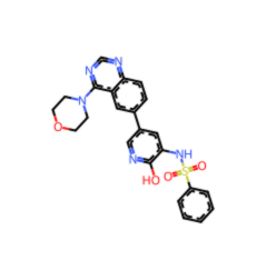 O=S(=O)(Nc1cc(-c2ccc3ncnc(N4CCOCC4)c3c2)cnc1O)c1ccccc1